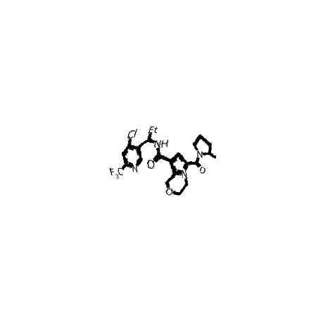 CCC(NC(=O)c1cc(C(=O)N2CCCC2C)n2c1COCC2)c1cnc(C(F)(F)F)cc1Cl